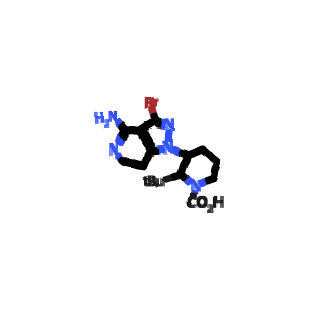 CC(C)(C)C1C(n2nc(Br)c3c(N)nccc32)CCCN1C(=O)O